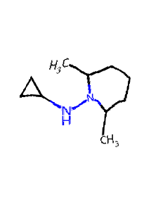 CC1CCCC(C)N1NC1CC1